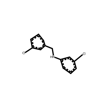 Clc1cccc(CNc2cccc(Cl)c2)c1